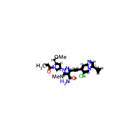 C=CC(=O)N1C[C@@H](n2nc(C#Cc3cc4ncc(C5CC5)n4cc3Cl)c(C(N)=O)c2NC)C[C@@H]1COC